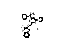 Cc1nc2ccccc2nc1OCc1nc(N2CCCC2)cc(N(C)C2CCOCC2)n1.Cl